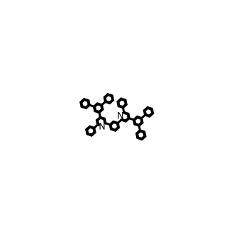 c1ccc(-c2cc(-c3ccccc3)cc(-c3cc(-c4ccccc4)nc(-c4cccc(-c5cc(-c6cc(-c7ccccc7)cc(-c7ccccc7)c6)cc(-c6ccccc6)n5)c4)c3)c2)cc1